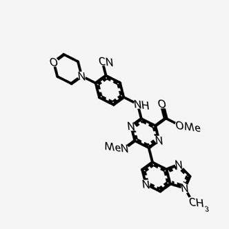 CNc1nc(Nc2ccc(N3CCOCC3)c(C#N)c2)c(C(=O)OC)nc1-c1cncc2c1ncn2C